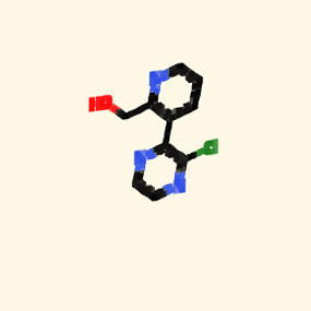 OCc1ncccc1-c1nccnc1Cl